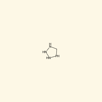 C1NNNP1